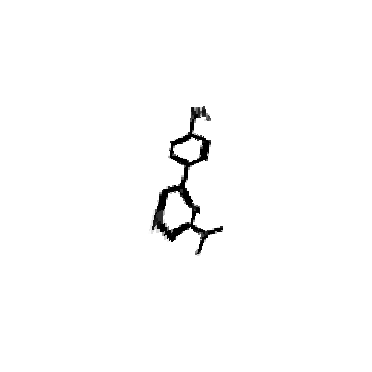 CN(C)c1cncc(-c2ccc(N)cc2)n1